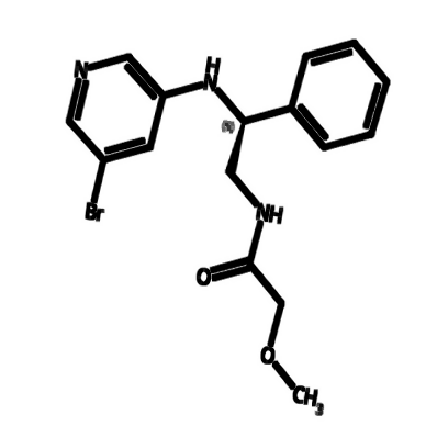 COCC(=O)NC[C@@H](Nc1cncc(Br)c1)c1ccccc1